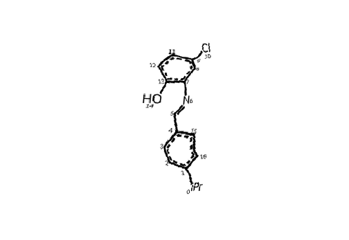 CC(C)c1ccc(C=Nc2cc(Cl)ccc2O)cc1